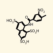 Cc1ccc(C(=O)Nc2cc(S(=O)(=O)O)cc3cc(S(=O)(=O)O)cc(S(=O)(=O)O)c23)cc1[N+](=O)[O-]